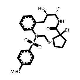 CCC1(C(=O)N[C@@H](C)[C@H](O)Cc2ccccc2N(CC(C)C)S(=O)(=O)c2ccc(OC)cc2)CCCC1